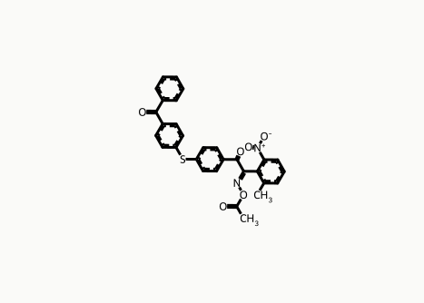 CC(=O)O/N=C(/C(=O)c1ccc(Sc2ccc(C(=O)c3ccccc3)cc2)cc1)c1c(C)cccc1[N+](=O)[O-]